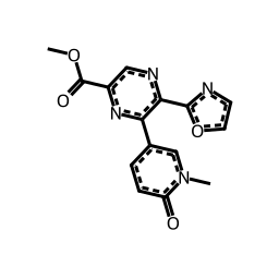 COC(=O)c1cnc(-c2ncco2)c(-c2ccc(=O)n(C)c2)n1